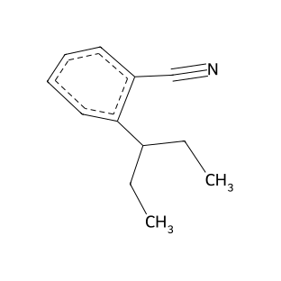 CCC(CC)c1ccccc1C#N